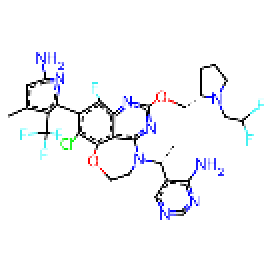 Cc1cc(N)nc(-c2c(Cl)c3c4c(nc(OC[C@@H]5CCCN5CC(F)F)nc4c2F)N([C@H](C)c2cncnc2N)CCO3)c1C(F)(F)F